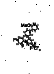 COc1ncccc1-c1cccc(C2CC(C(F)(F)C(F)(F)F)=NN2c2ccc(F)cc2F)c1